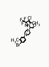 Cc1cc(N2CCN(C(C=O)n3nc(C(F)(F)F)c(Cl)c3C)CC2)ccc1Br